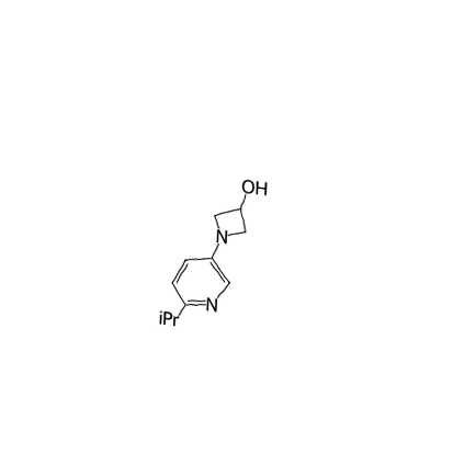 CC(C)c1ccc(N2CC(O)C2)cn1